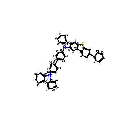 c1ccc(-c2ccc3c(c2)sc2cc4c5ccccc5n(-c5ccc(-c6ccc(-n7c8ccccc8c8ccccc87)cc6)cc5)c4cc23)cc1